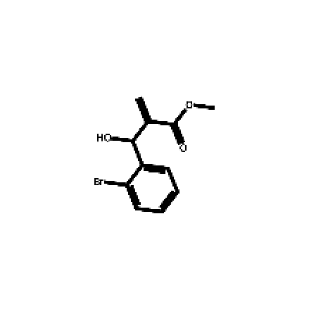 C=C(C(=O)OC)C(O)c1ccccc1Br